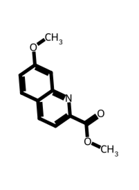 COC(=O)c1ccc2ccc(OC)cc2n1